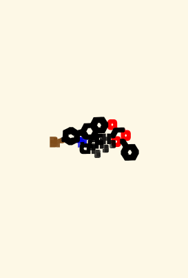 Cn1c2c(c3ccc(Br)cc31)Cc1ccc(OC3COC(c4ccccc4)OC3)cc1C2(C)C